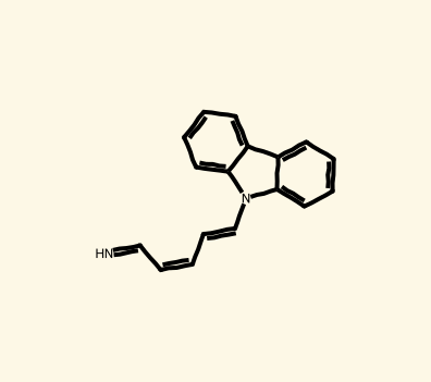 N=C/C=C\C=C\n1c2ccccc2c2ccccc21